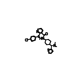 CN(C)C(c1cccs1)C1CCC(NC(=O)c2cccnc2Sc2ccc(Cl)cc2)CC1